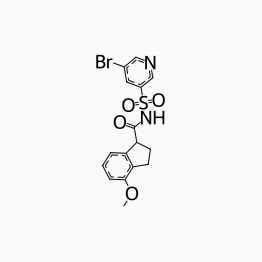 COc1cccc2c1CCC2C(=O)NS(=O)(=O)c1cncc(Br)c1